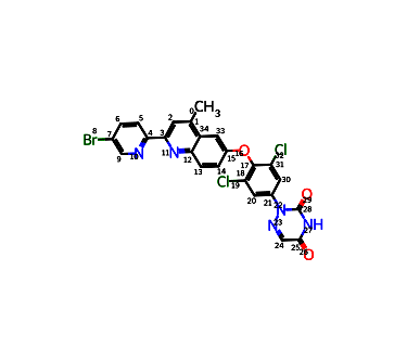 Cc1cc(-c2ccc(Br)cn2)nc2ccc(Oc3c(Cl)cc(-n4ncc(=O)[nH]c4=O)cc3Cl)cc12